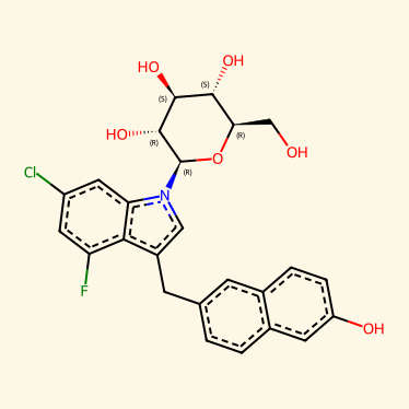 OC[C@H]1O[C@@H](n2cc(Cc3ccc4cc(O)ccc4c3)c3c(F)cc(Cl)cc32)[C@H](O)[C@@H](O)[C@@H]1O